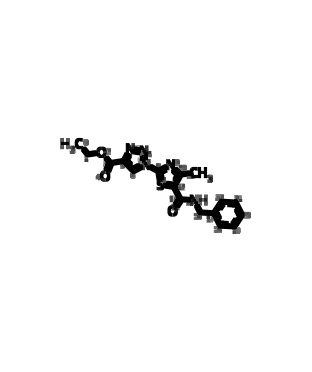 CCOC(=O)c1cn(-c2nc(C)c(C(=O)NCc3ccccc3)s2)nn1